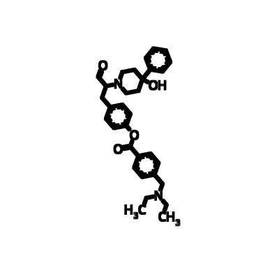 CCN(CC)Cc1ccc(C(=O)Oc2ccc(CC(C=O)N3CCC(O)(c4ccccc4)CC3)cc2)cc1